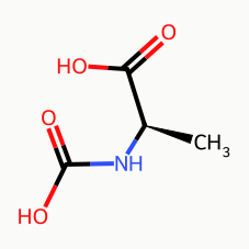 C[C@@H](NC(=O)O)C(=O)O